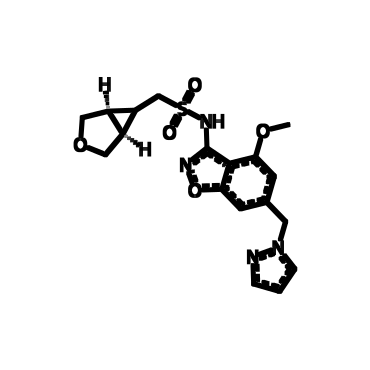 COc1cc(Cn2cccn2)cc2onc(NS(=O)(=O)CC3[C@H]4COC[C@@H]34)c12